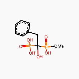 COP(=O)(O)C(O)(Cc1ccccc1)P(=O)(O)O